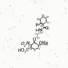 COc1ccc(C(=O)O)c([N+](=O)[O-])c1OCCCNC(=O)c1ccccc1F